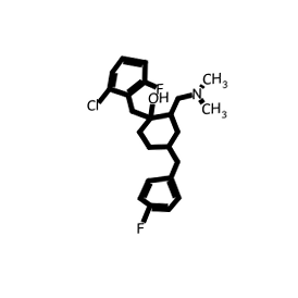 CN(C)CC1CC(Cc2ccc(F)cc2)CCC1(O)Cc1c(F)cccc1Cl